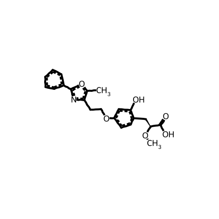 CO[C@@H](Cc1ccc(OCCc2nc(-c3ccccc3)oc2C)cc1O)C(=O)O